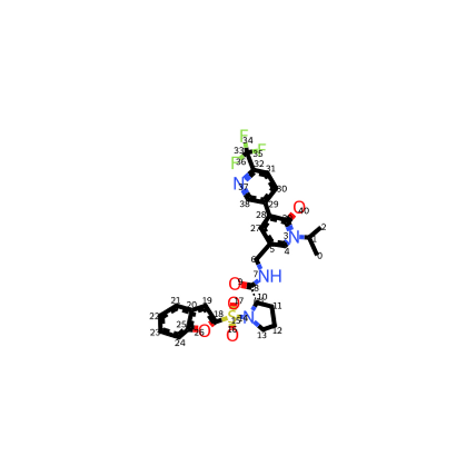 CC(C)n1cc(CNC(=O)[C@@H]2CCCN2S(=O)(=O)c2cc3ccccc3o2)cc(-c2ccc(C(F)(F)F)nc2)c1=O